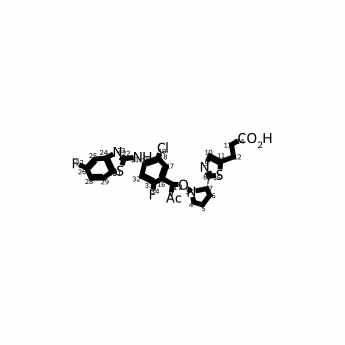 CC(=O)C(ON1CCC[C@H]1c1ncc(CCC(=O)O)s1)c1cc(Cl)c(Nc2nc3cc(F)ccc3s2)cc1F